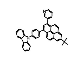 CC(C)(C)c1cc2ccc3c(-c4ccc(-n5c6ccccc6c6ccccc65)cc4)cc(-c4cccnc4)c4ccc(c1)c2c34